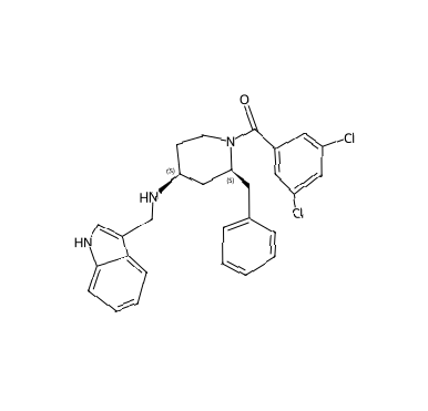 O=C(c1cc(Cl)cc(Cl)c1)N1CC[C@H](NCc2c[nH]c3ccccc23)C[C@@H]1Cc1ccccc1